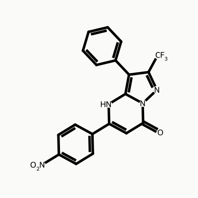 O=c1cc(-c2ccc([N+](=O)[O-])cc2)[nH]c2c(-c3ccccc3)c(C(F)(F)F)nn12